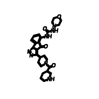 O=C(Nc1cccc2c1C(=O)C1=C(C3CCN(C(=O)C4CCCNC4)CC3)N=NC12)NN1CCOCC1